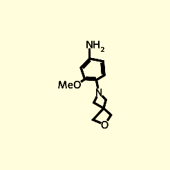 COc1cc(N)ccc1N1CC2(COC2)C1